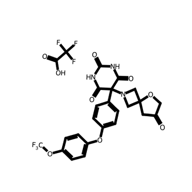 O=C(O)C(F)(F)F.O=C1COC2(C1)CN(C1(c3ccc(Oc4ccc(OC(F)(F)F)cc4)cc3)C(=O)NC(=O)NC1=O)C2